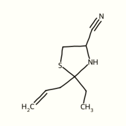 C=CCC1(CC)NC(C#N)CS1